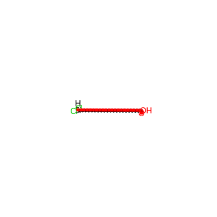 O=C(O)CCCCCCCCCCCCCCCCCCCCCCCCCCCCCCCCCCCCCCCC[SiH](Cl)Cl